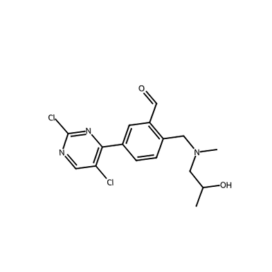 CC(O)CN(C)Cc1ccc(-c2nc(Cl)ncc2Cl)cc1C=O